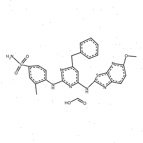 COc1ccc2nc(Nc3cc(Cc4ccccc4)nc(Nc4ccc(S(N)(=O)=O)cc4C)n3)sc2n1.O=CO